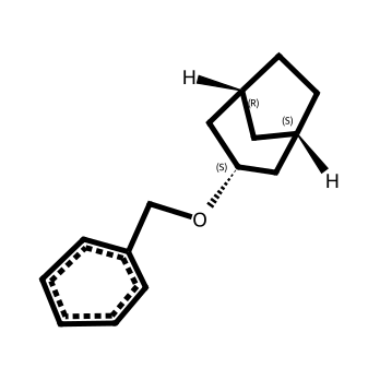 c1ccc(CO[C@@H]2C[C@@H]3CC[C@@H](C3)C2)cc1